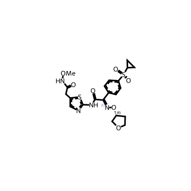 CONC(=O)Cc1cnc(NC(=O)/C(=N/O[C@@H]2CCOC2)c2ccc(S(=O)(=O)C3CC3)cc2)s1